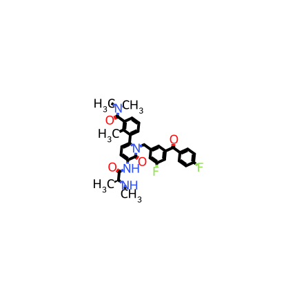 CN[C@@H](C)C(=O)Nc1ccc(-c2cccc(C(=O)N(C)C)c2C)n(Cc2cc(F)cc(C(=O)c3ccc(F)cc3)c2)c1=O